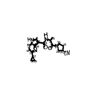 CC(NC(=O)c1c[nH]c2ncc(C3CC3)nc12)C(=O)N1CC[C@@H](C#N)C1